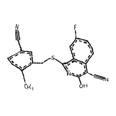 Cc1ccc(C#N)cc1CSc1nc(O)c(C#N)c2ccc(F)cc12